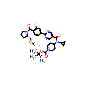 COC[C@@H]1CCCN1C(=O)c1ccc(-c2ncc(C(=O)N(C3CC3)C3CCN(C(=O)OC(C)(C)C)CC3)cn2)cc1F